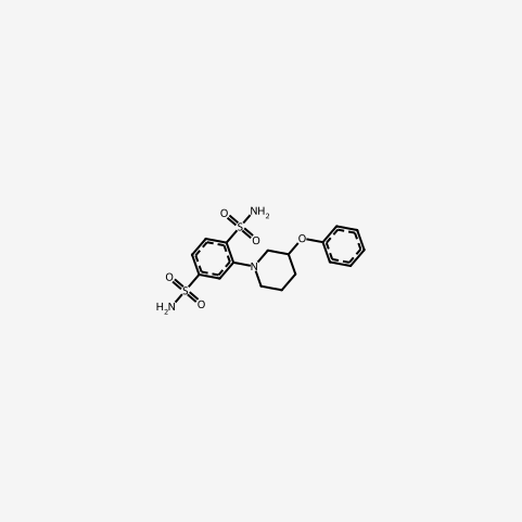 NS(=O)(=O)c1ccc(S(N)(=O)=O)c(N2CCCC(Oc3ccccc3)C2)c1